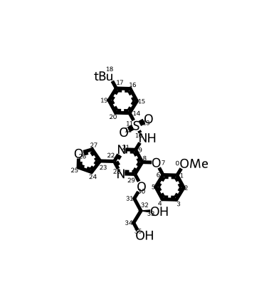 COc1ccccc1Oc1c(NS(=O)(=O)c2ccc(C(C)(C)C)cc2)nc(-c2ccoc2)nc1OC[C@@H](O)CO